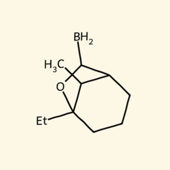 BC1OC2(CC)CCCC1C2C